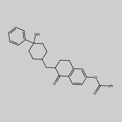 CCCC(=O)Oc1ccc2c(c1)CCC(CN1CCC(O)(c3ccccc3)CC1)C2=O